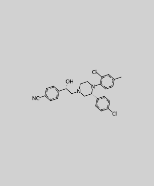 Cc1ccc(N2CCN(C[C@@H](O)c3ccc(C#N)cc3)C[C@H]2c2ccc(Cl)cc2)c(Cl)c1